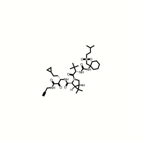 C#CCNC(=O)C(=O)[C@H](CCC1CC1)NC(=O)[C@@H]1[C@@H]2[C@H](CN1C(=O)[C@@H](NC(=O)NC1(CS(=O)(=O)CCC(C)C)CCCCC1)C(C)(C)C)C2(C)C